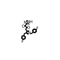 O=C(Cc1cn(Cc2ccc(F)cc2)cc1Cc1ccc(F)cc1)C(=O)c1nc[nH]n1